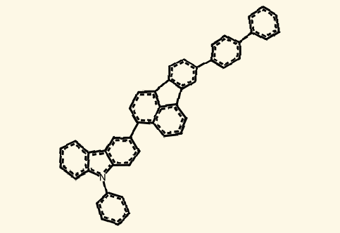 c1ccc(-c2ccc(-c3ccc4c(c3)-c3cccc5c(-c6ccc7c(c6)c6ccccc6n7-c6ccccc6)ccc-4c35)cc2)cc1